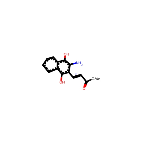 COC(=O)/C=C/c1c(N)c(O)c2ccccc2c1O